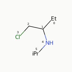 CCC(CCl)NC(C)C